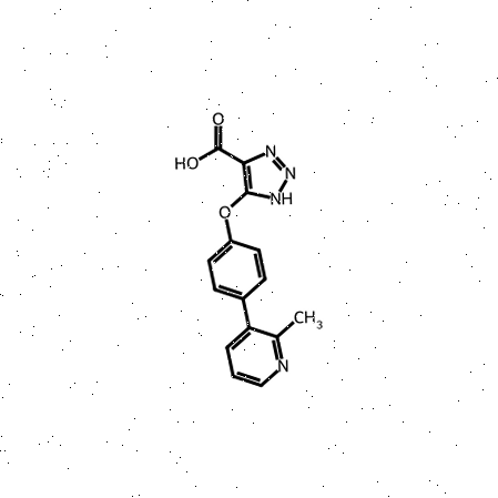 Cc1ncccc1-c1ccc(Oc2[nH]nnc2C(=O)O)cc1